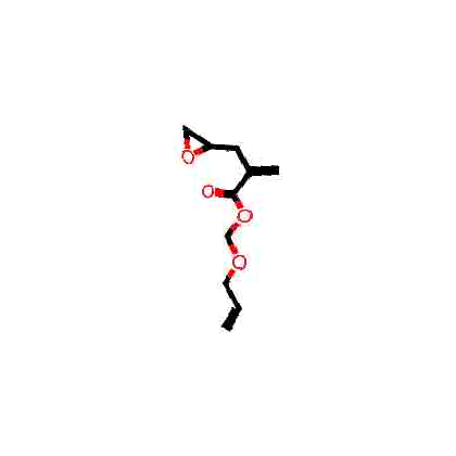 C=CCOCOC(=O)C(=C)CC1CO1